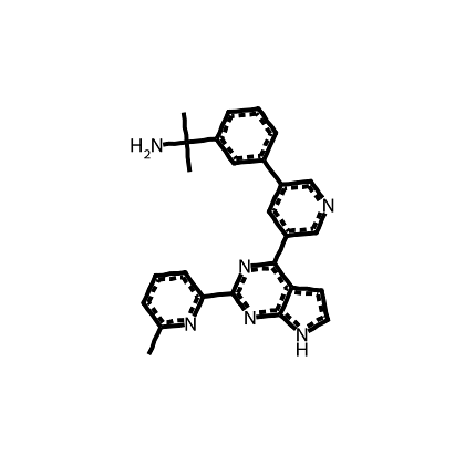 Cc1cccc(-c2nc(-c3cncc(-c4cccc(C(C)(C)N)c4)c3)c3cc[nH]c3n2)n1